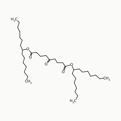 CCCCCCCC(CCCCCCC)OC(=O)CCCC(=O)CCCC(=O)OC(CCCCCCC)CCCCCCC